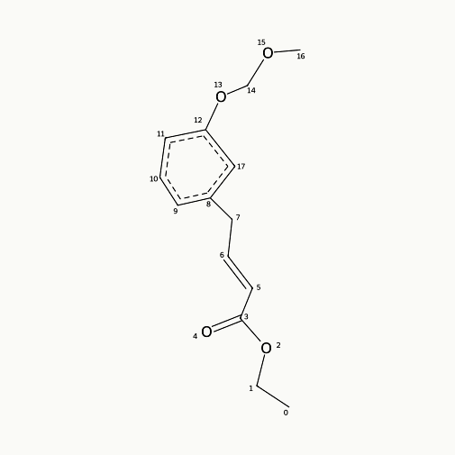 CCOC(=O)C=CCc1cccc(OCOC)c1